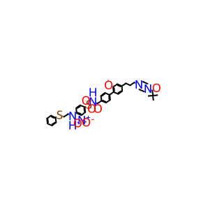 COc1cc(CCCN2CCN(C(=O)C(C)(C)C)CC2)ccc1-c1ccc(C(=O)NS(=O)(=O)c2ccc(NCCSc3ccccc3)c([N+](=O)[O-])c2)cc1